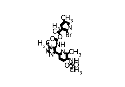 Cc1cnc(Br)c(C(C)OC(=O)Nc2c(-c3ccc(NS(C)(=O)=O)c(C)n3)nnn2C)c1